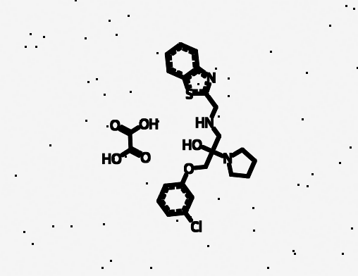 O=C(O)C(=O)O.OC(CNCc1nc2ccccc2s1)(COc1cccc(Cl)c1)N1CCCC1